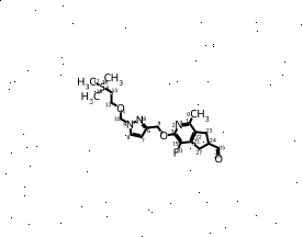 Cc1nc(OCc2ccn(COCCS(C)(C)C)n2)c(F)c2c1CC(C=O)C2